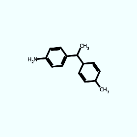 CC1C=CC(C(C)c2ccc(N)cc2)C=C1